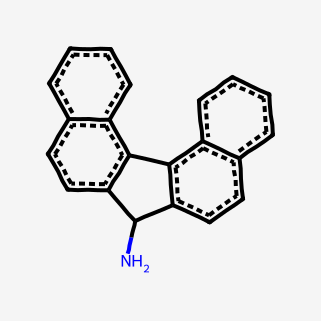 NC1c2ccc3ccccc3c2-c2c1ccc1ccccc21